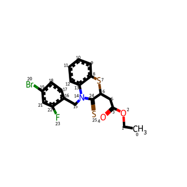 CCOC(=O)CC1Sc2ccccc2N(Cc2ccc(Br)cc2F)C1=S